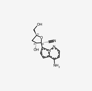 N#C[C@@]1(c2ccc3c(N)ccnn23)O[C@H](CO)C[C@H]1O